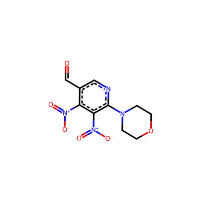 O=Cc1cnc(N2CCOCC2)c([N+](=O)[O-])c1[N+](=O)[O-]